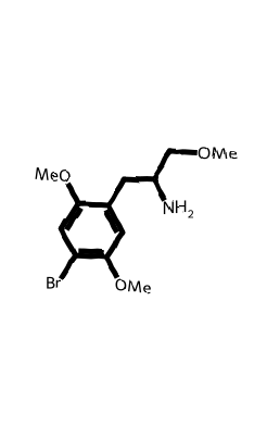 COCC(N)Cc1cc(OC)c(Br)cc1OC